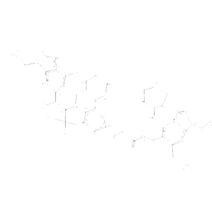 CCc1nc2c(cnn2CC)c(NC2CCOCC2)c1CNC(=O)CCc1ccc(N(Cc2c(CC)nc3c(cnn3CC)c2NC2CCOCC2)C(=O)C(F)(F)F)cc1